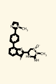 CN1C(=N)NC(c2sc3c(-c4ccc(-c5nccn5C)cc4)cccc3c2F)C[S+]1[O-]